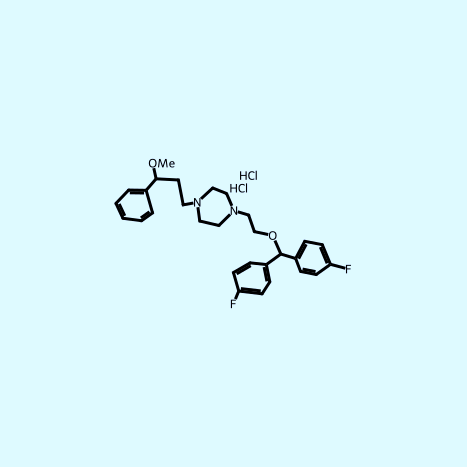 COC(CCN1CCN(CCOC(c2ccc(F)cc2)c2ccc(F)cc2)CC1)c1ccccc1.Cl.Cl